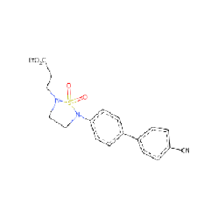 CCOC(=O)CCN1CCN(c2ccc(-c3ccc(C#N)cc3)cc2)S1(=O)=O